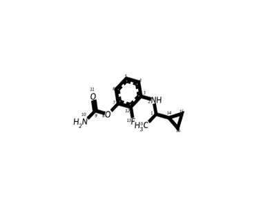 CC(Nc1cccc(OC(N)=O)c1F)C1CC1